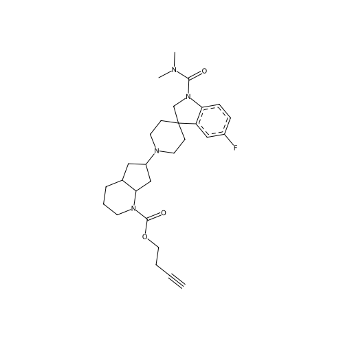 C#CCCOC(=O)N1CCCC2CC(N3CCC4(CC3)CN(C(=O)N(C)C)c3ccc(F)cc34)CC21